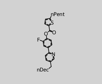 CCCCCCCCCCCc1ccc(-c2ccc(OC(=O)c3ccc(CCCCC)s3)c(F)c2)nc1